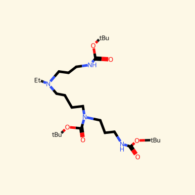 CCN(CCCCN(CCCNC(=O)OC(C)(C)C)C(=O)OC(C)(C)C)CCCNC(=O)OC(C)(C)C